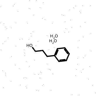 O.O.OCCCc1ccccc1